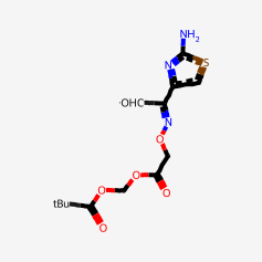 CC(C)(C)C(=O)OCOC(=O)CON=C([C]=O)c1csc(N)n1